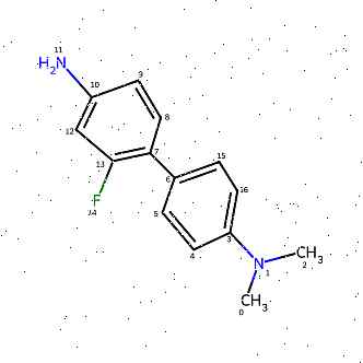 CN(C)c1ccc(-c2ccc(N)cc2F)cc1